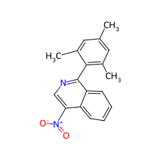 Cc1cc(C)c(-c2ncc([N+](=O)[O-])c3ccccc23)c(C)c1